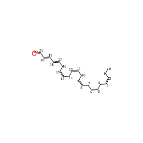 CC/C=C\C/C=C\C/C=C\C/C=C\C/C=C\C/C=C/C=C/C=O